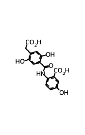 O=C(O)Cc1cc(O)c(C(=O)Nc2ccc(O)cc2C(=O)O)cc1O